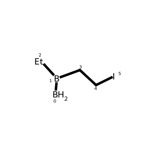 BB(CC)CCI